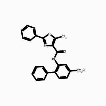 O=C(O)c1ccc(-c2ccccc2)c(NC(=O)c2nc(-c3ccccc3)oc2C(F)(F)F)c1